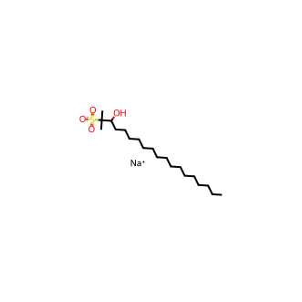 CCCCCCCCCCCCCCCCC(O)C(C)(C)S(=O)(=O)[O-].[Na+]